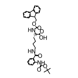 CC(C)(C)OC(=O)Nc1ccccc1C(=O)NCCCC[C@H](NC(=O)OCC1c2ccccc2-c2ccccc21)C(=O)O